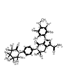 [2H]c1c([2H])c(-n2nc(C(N)=O)c3c2C(=O)N(c2ccc(N4C(=O)C([2H])([2H])C([2H])([2H])C([2H])([2H])C4([2H])[2H])cc2)C([2H])([2H])C3)c([2H])c([2H])c1OC